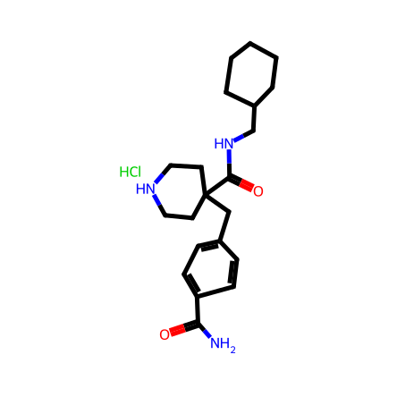 Cl.NC(=O)c1ccc(CC2(C(=O)NCC3CCCCC3)CCNCC2)cc1